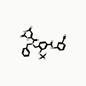 N#Cc1cccc(NC(=O)c2ccc(CN(Cc3ccccc3)C(=O)c3cc(=O)[nH]c(=O)[nH]3)c(OC(F)(F)F)c2)c1